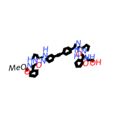 COC(=O)N[C@@H](C(=O)N1CCC[C@H]1c1nc2ccc(C#Cc3ccc(-c4cnc([C@@H]5CCCN5C(=O)[C@H](NC(=O)CO)c5ccccc5)[nH]4)cc3)cc2[nH]1)c1ccccc1